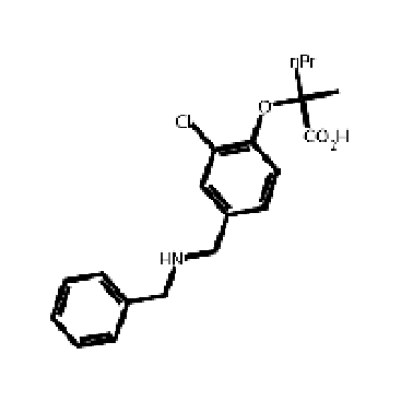 CCCC(C)(Oc1ccc(CNCc2ccccc2)cc1Cl)C(=O)O